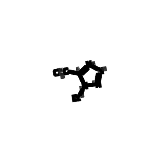 CCn1nnnc1C(Cl)(Cl)Cl